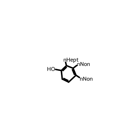 CCCCCCCCCc1ccc(O)c(CCCCCCC)c1CCCCCCCCC